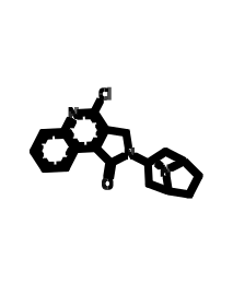 CN1C2CCC1CC(N1Cc3c(Cl)nc4ccccc4c3C1=O)C2